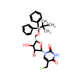 CC(C)(C)[Si](OC[C@@H]1O[C@H](n2cc(CF)c(=O)[nH]c2=O)C(Br)C1O)(c1ccccc1)c1ccccc1